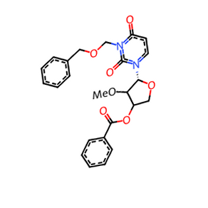 COC1C(OC(=O)c2ccccc2)CO[C@H]1n1ccc(=O)n(COCc2ccccc2)c1=O